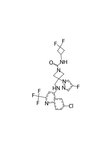 O=C(NC1CC(F)(F)C1)N1CC(CNc2cc(C(F)(F)F)nc3ccc(Cl)cc23)(n2cc(F)cn2)C1